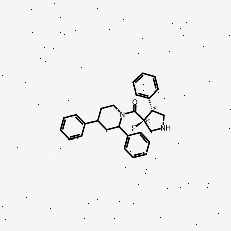 O=C(N1CCC(c2ccccc2)CC1c1ccccc1)[C@@]1(F)CNC[C@H]1c1ccccc1